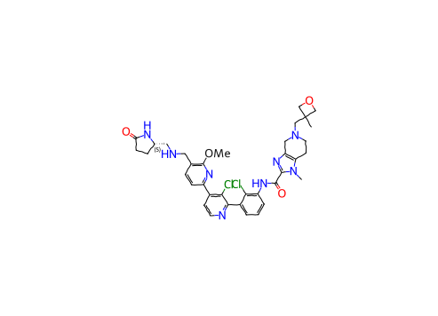 COc1nc(-c2ccnc(-c3cccc(NC(=O)c4nc5c(n4C)CCN(CC4(C)COC4)C5)c3Cl)c2Cl)ccc1CNC[C@@H]1CCC(=O)N1